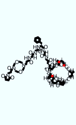 C=C1C[C@@H]2CC[C@@]34CC5OC6C(O[C@H]7CC[C@H](CC(=S)C[C@@H]8[C@@H](OC)[C@@H](C[C@H](O)CNC(=O)CNC(=O)[C@H](Cc9ccccc9)NC(=O)CNC(=O)CNC(=O)CCN9CCOCCN(C(=O)CCN%10C(=O)C=CC%10=O)CCOCC9)O[C@H]8C[C@H]8O[C@@H](CC[C@@H]1O2)C[C@@H](C)C8=C)O[C@@H]7[C@@H]6O3)[C@H]5O4